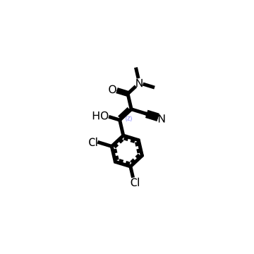 CN(C)C(=O)/C(C#N)=C(\O)c1ccc(Cl)cc1Cl